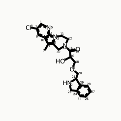 Cc1c2n(c3ncc(Cl)cc13)CCN(C(=O)C(O)COCC1NCc3ccccc31)C2